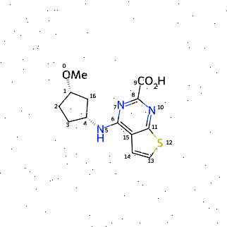 CO[C@H]1CC[C@@H](Nc2nc(C(=O)O)nc3sccc23)C1